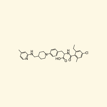 CCc1cc(Cl)cc(C)c1C(=O)NC(Cc1ccc(N2CCC(CNc3cc(C)ccn3)CC2)cc1)C(=O)O